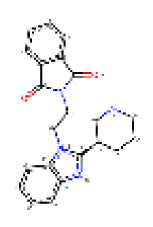 O=C1c2ccccc2C(=O)N1CCn1c([C@@H]2CCCNC2)nc2ccccc21